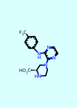 O=C(O)[C@H]1CN(c2nccnc2Nc2ccc(C(F)(F)F)cc2)CCN1